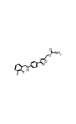 NC(=O)OCc1cc(-c2ccc(NCc3cccc(F)c3F)cc2)no1